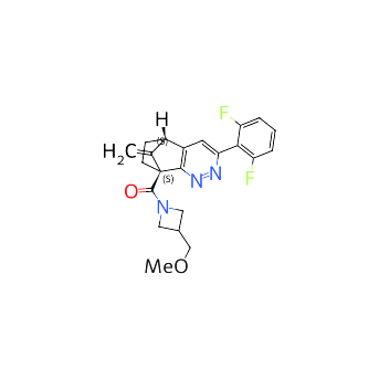 C=C1[C@@H]2CC[C@@]1(C(=O)N1CC(COC)C1)c1nnc(-c3c(F)cccc3F)cc12